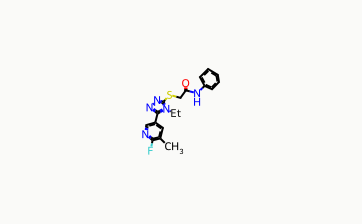 CCn1c(SCC(=O)Nc2ccccc2)nnc1-c1cnc(F)c(C)c1